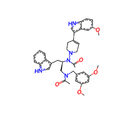 COc1cc(CN(C[C@@H](Cc2c[nH]c3ccccc23)N(C(C)=O)N2CC=C(c3c[nH]c4ccc(OC)cc34)CC2)C(C)=O)cc(OC)c1